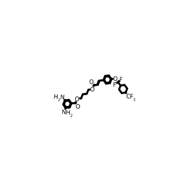 Nc1cc(N)cc(C(=O)OCCCCOC(=O)C=Cc2ccc(OC(F)(F)C3CCC(C(F)(F)F)CC3)cc2)c1